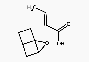 C1CC23OC2CC13.CC=CC(=O)O